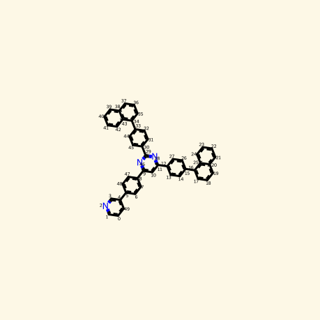 c1cncc(-c2ccc(-c3cc(-c4ccc(-c5cccc6ccccc56)cc4)nc(-c4ccc(-c5cccc6ccccc56)cc4)n3)cc2)c1